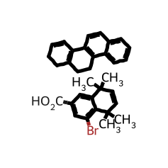 C1=CC2=C(CC1)CCc1c2ccc2ccccc12.CC1(C)C=CC(C)(C)c2c(Br)cc(C(=O)O)cc21